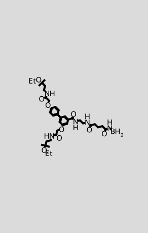 BNC(=O)CCCC(=O)NCCNC(=O)c1cc(OCC(=O)NCCC(C)(C)OCC)cc(-c2ccc(OCC(=O)NCCC(C)(C)OCC)cc2)c1